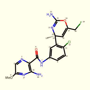 COc1cnc(C(=O)Nc2ccc(Cl)c([C@]3(C)C=C(CF)OC(N)=N3)c2)c(N)n1